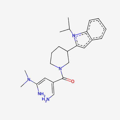 CC(C)n1c(C2CCCN(C(=O)C(=C/N)/C=C(\N)N(C)C)C2)cc2ccccc21